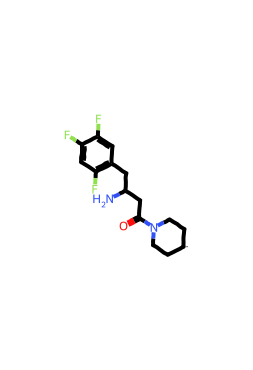 NC(CC(=O)N1CC[CH]CC1)Cc1cc(F)c(F)cc1F